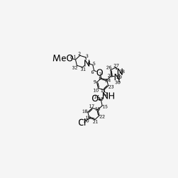 COC1CCN(CCOc2ccc(NC(=O)Cc3ccc(Cl)cc3)cc2-c2ccnn2C)CC1